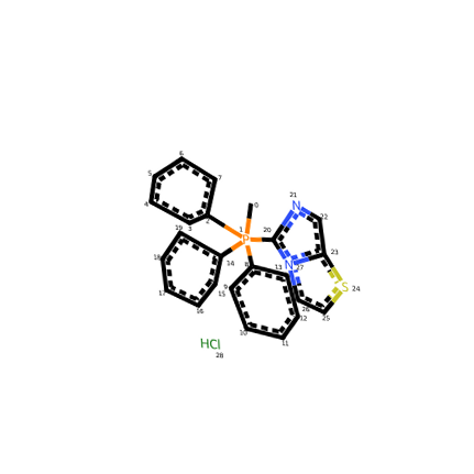 CP(c1ccccc1)(c1ccccc1)(c1ccccc1)c1ncc2sccn12.Cl